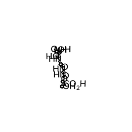 O=C(COc1cccc([C@](O)(C(=O)O)c2ccccc2)c1)NCCCNC(=O)c1ccc(CCNC[C@H](O)c2ccc(O)c3[nH]c(=O)ccc23)cc1